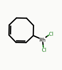 [Cl][Rh]([Cl])[CH]1C=CC=CCCC1